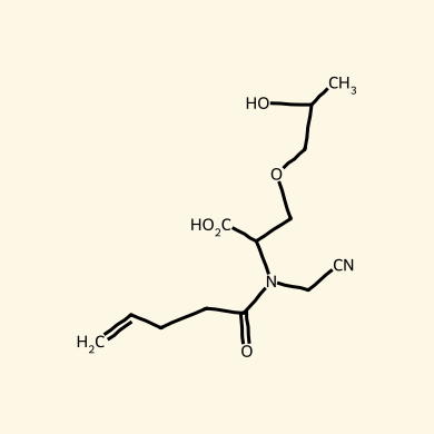 C=CCCC(=O)N(CC#N)C(COCC(C)O)C(=O)O